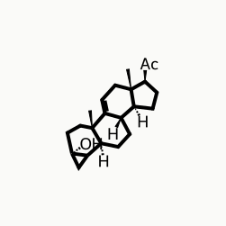 CC(=O)[C@H]1CC[C@H]2[C@@H]3CC[C@H]4C5C[C@@]5(O)CC[C@]4(C)C3=CC[C@]12C